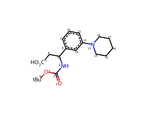 CC(C)(C)OC(=O)NC(CC(=O)O)c1cccc(N2CCCCC2)c1